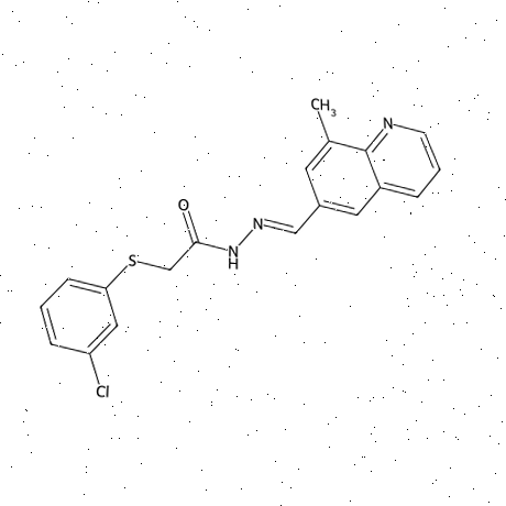 Cc1cc(C=NNC(=O)CSc2cccc(Cl)c2)cc2cccnc12